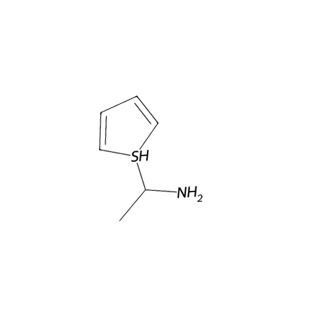 CC(N)[SH]1C=CC=C1